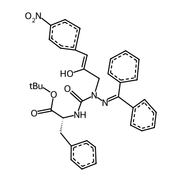 CC(C)(C)OC(=O)[C@@H](Cc1ccccc1)NC(=O)N(C/C(O)=C/c1ccc([N+](=O)[O-])cc1)N=C(c1ccccc1)c1ccccc1